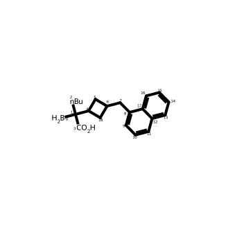 BC(CCCC)(C(=O)O)C1CC(Cc2cccc3ccccc23)C1